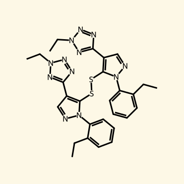 CCc1ccccc1-n1ncc(-c2nnn(CC)n2)c1SSc1c(-c2nnn(CC)n2)cnn1-c1ccccc1CC